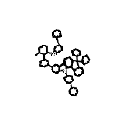 CC1C=CC=C(Nc2cccc(-c3ccccc3)c2)C1c1cccc(-c2ccc3c(c2)c2ccc4c(c2n3-c2ccc(-c3ccccc3)cc2)-c2ccccc2C4(c2ccccc2)c2ccccc2)c1